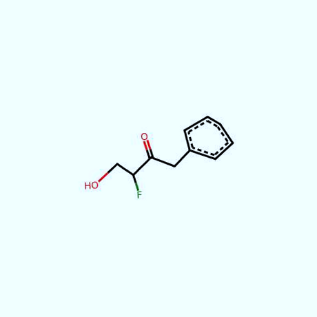 O=C(Cc1ccccc1)C(F)CO